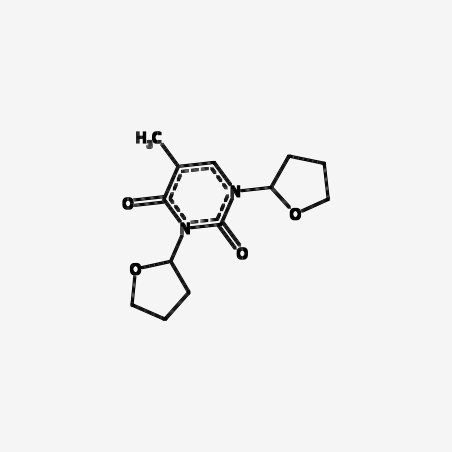 Cc1cn(C2CCCO2)c(=O)n(C2CCCO2)c1=O